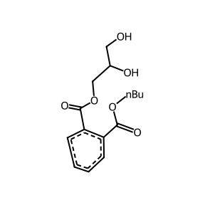 CCCCOC(=O)c1ccccc1C(=O)OCC(O)CO